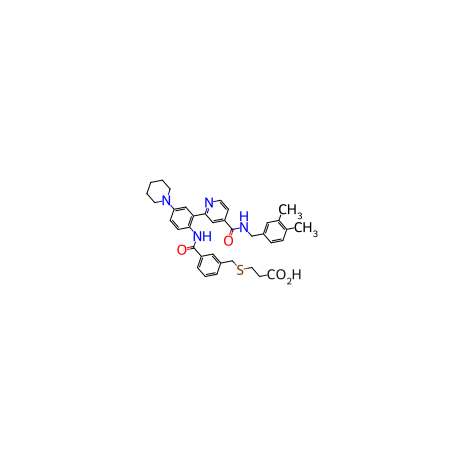 Cc1ccc(CNC(=O)c2ccnc(-c3cc(N4CCCCC4)ccc3NC(=O)c3cccc(CSCCC(=O)O)c3)c2)cc1C